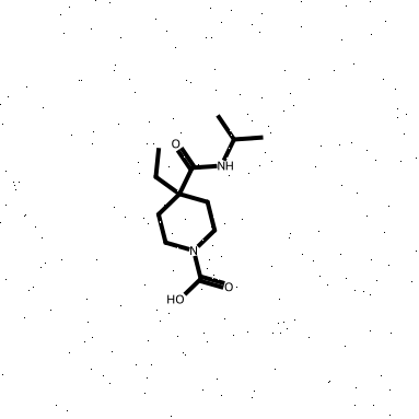 CCC1(C(=O)NC(C)C)CCN(C(=O)O)CC1